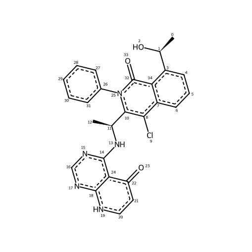 C[C@H](O)c1cccc2c(Cl)c([C@H](C)Nc3ncnc4[nH]ccc(=O)c34)n(-c3ccccc3)c(=O)c12